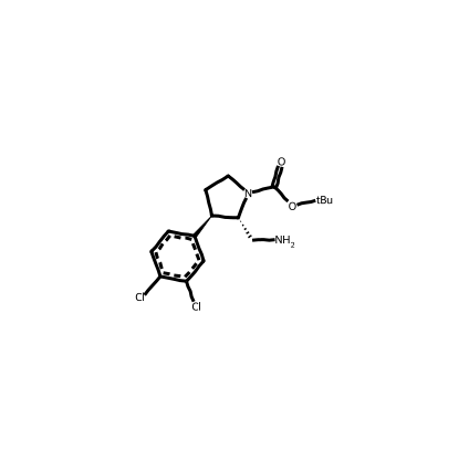 CC(C)(C)OC(=O)N1CC[C@H](c2ccc(Cl)c(Cl)c2)[C@H]1CN